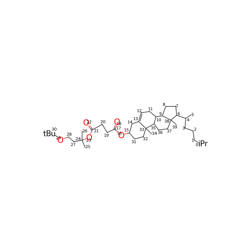 CC(C)CCCC(C)C1CCC2C3CC=C4CC(OC(=O)CCC(=O)OC(C)(C)CCOC(C)(C)C)CCC4(C)C3CCC12C